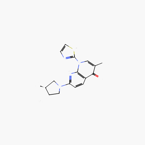 CO[C@H]1CN(c2ccc3c(=O)c(C(=O)O)cn(-c4nccs4)c3n2)C[C@@H]1C